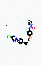 CC(C)CN(C)N(O)Cc1ccc(OCC[C@@H]2C[C@@H]2C2CCN(c3ncc(Cl)cn3)CC2)cc1F